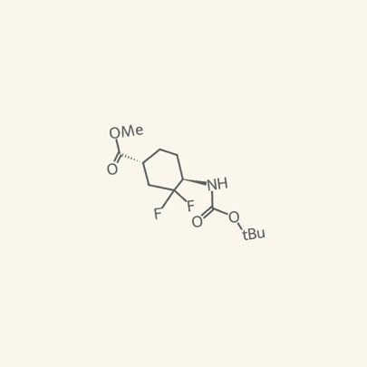 COC(=O)[C@@H]1CC[C@@H](NC(=O)OC(C)(C)C)C(F)(F)C1